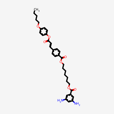 CCCCCOc1ccc(OC(=O)C=Cc2ccc(C(=O)OCCCCCCCOC(=O)c3cc(N)cc(N)c3)cc2)cc1